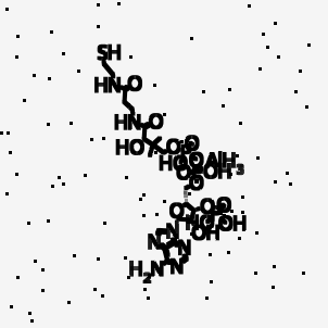 CC(C)(COP(=O)(O)OP(=O)(O)OC[C@H]1O[C@@H](n2cnc3c(N)ncnc32)[C@H](O)[C@@H]1OP(=O)(O)O)C(O)C(=O)NCCC(=O)NCCS.[AlH3]